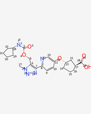 CN(C(=O)OCc1c(-c2ccc(O[C@H]3CCC[C@H](C(=O)O)C3)cn2)nnn1C)C1CCCC1